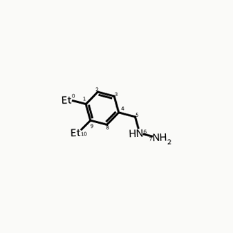 CCc1ccc(CNN)cc1CC